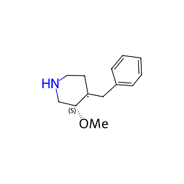 CO[C@@H]1CNCC[C]1Cc1ccccc1